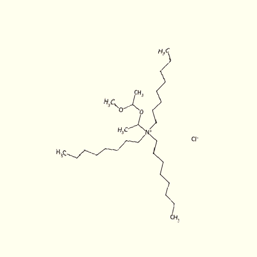 CCCCCCCC[N+](CCCCCCCC)(CCCCCCCC)C(C)OC(C)OC.[Cl-]